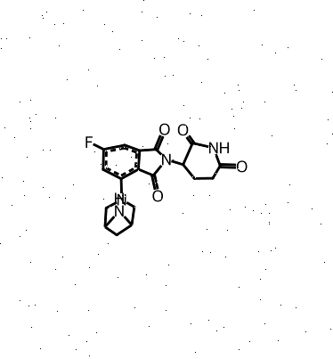 O=C1CCC(N2C(=O)c3cc(F)cc(N4CC5CC(C4)N5)c3C2=O)C(=O)N1